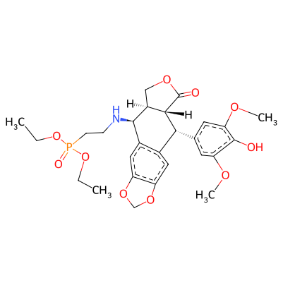 CCOP(=O)(CCN[C@@H]1c2cc3c(cc2[C@@H](c2cc(OC)c(O)c(OC)c2)[C@H]2C(=O)OC[C@@H]21)OCO3)OCC